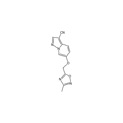 Cc1noc(COc2ccc3c(C#N)cnn3c2)n1